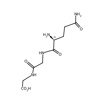 NC(=O)CC[C@H](N)C(=O)NCC(=O)NCC(=O)O